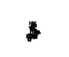 CNC(=O)O[C@@H]1C[C@@H](Oc2cc3c(Nc4cccc(Cl)c4F)ncnc3cc2OC)CCN1C